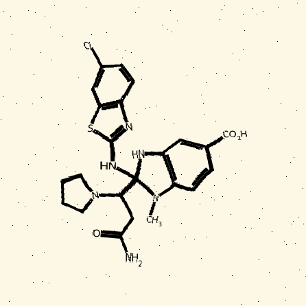 CN1c2ccc(C(=O)O)cc2NC1(Nc1nc2ccc(Cl)cc2s1)C(CC(N)=O)N1CCCC1